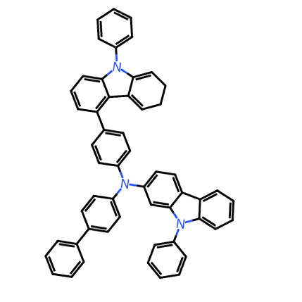 C1=c2c(n(-c3ccccc3)c3cccc(-c4ccc(N(c5ccc(-c6ccccc6)cc5)c5ccc6c7ccccc7n(-c7ccccc7)c6c5)cc4)c23)=CCC1